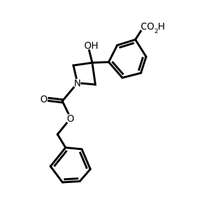 O=C(O)c1cccc(C2(O)CN(C(=O)OCc3ccccc3)C2)c1